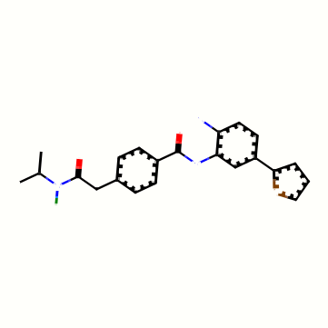 CC(C)N(F)C(=O)Cc1ccc(C(=O)Nc2cc(-c3cccs3)ccc2N)cc1